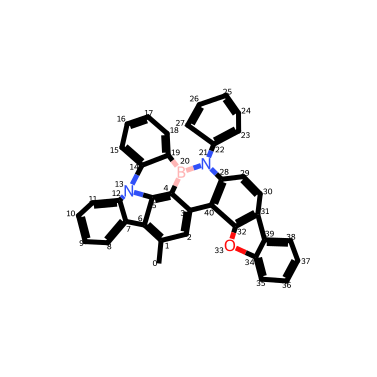 Cc1cc2c3c4c1c1ccccc1n4-c1ccccc1B3N(c1ccccc1)c1ccc3c(oc4ccccc43)c1-2